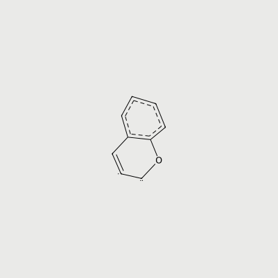 [C]1[C]=Cc2ccccc2O1